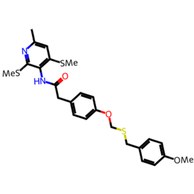 COc1ccc(CSCOc2ccc(CC(=O)Nc3c(SC)cc(C)nc3SC)cc2)cc1